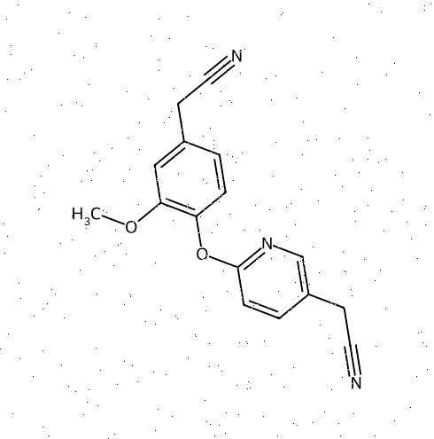 COc1cc(CC#N)ccc1Oc1ccc(CC#N)cn1